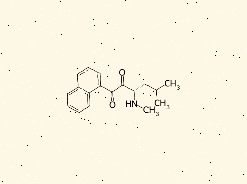 CN[C@@H](CC(C)C)C(=O)C(=O)c1cccc2ccccc12